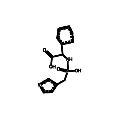 O=C(O)C(NP(=O)(O)Cc1ccsc1)c1ccccc1